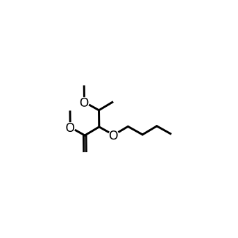 C=C(OC)C(OCCCC)C(C)OC